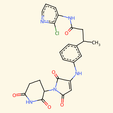 CC(CC(=O)Nc1cccnc1Cl)c1cccc(NC2=CC(=O)N(C3CCC(=O)NC3=O)C2=O)c1